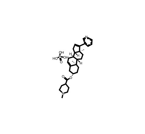 CN1CCC(C(=O)O[C@H]2CC[C@@]3(C)C(=CC[C@@H]4[C@@H]3CC[C@]3(C)C(c5cccnc5)=CC[C@@H]43)C2)CC1.O=P(O)(O)O